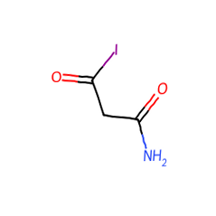 NC(=O)CC(=O)I